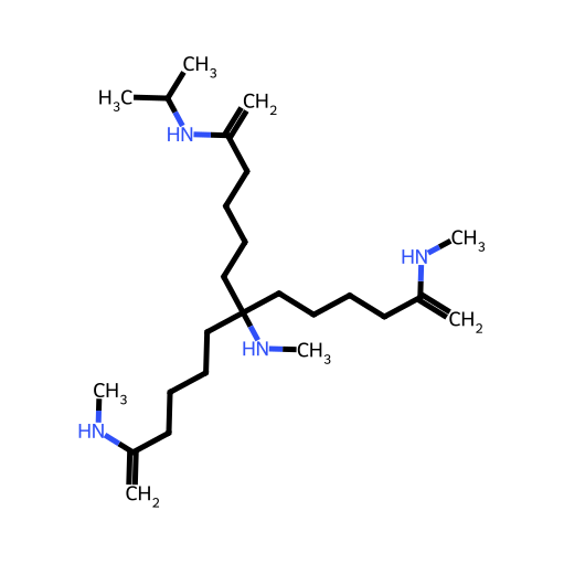 C=C(CCCCC(CCCCC(=C)NC)(CCCCC(=C)NC(C)C)NC)NC